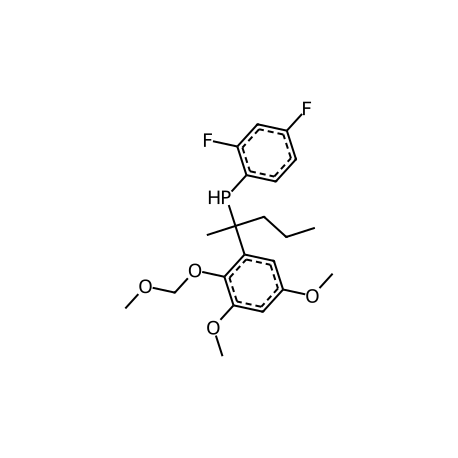 CCCC(C)(Pc1ccc(F)cc1F)c1cc(OC)cc(OC)c1OCOC